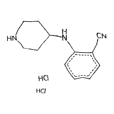 Cl.Cl.N#Cc1ccccc1NC1CCNCC1